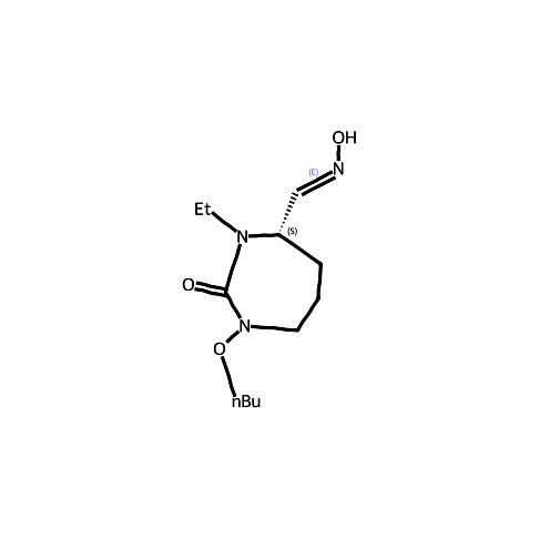 CCCCON1CCC[C@@H](/C=N/O)N(CC)C1=O